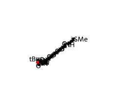 CSC(C)CCCCNC(=O)CCOCCOCCOCCOCCn1cc(CN2C(=O)CC(C(C)(C)C)C2=O)nn1